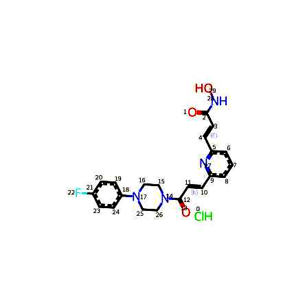 Cl.O=C(/C=C/c1cccc(/C=C/C(=O)N2CCN(c3ccc(F)cc3)CC2)n1)NO